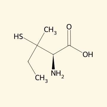 CCC(C)(S)[C@H](N)C(=O)O